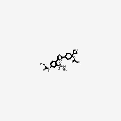 CC(C)OC(=O)Nc1ccc(-c2cnc(C3CCC(OC(N)=O)(C4COC4)CC3)s2)c(S(=O)(=O)NC(C)(C)C)c1